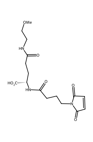 COCCNC(=O)CC[C@H](NC(=O)CCCN1C(=O)C=CC1=O)C(=O)O